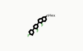 CCCCCCc1ccc2c(F)c(-c3ccc(-c4ccc(F)cc4)c(F)c3)ccc2c1